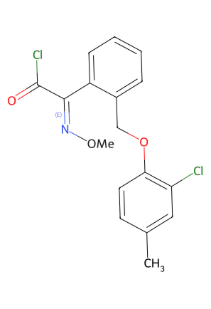 CO/N=C(/C(=O)Cl)c1ccccc1COc1ccc(C)cc1Cl